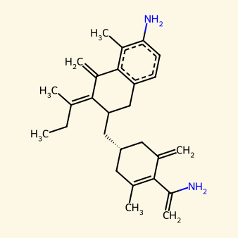 C=C(N)C1=C(C)C[C@H](CC2Cc3ccc(N)c(C)c3C(=C)/C2=C(\C)CC)CC1=C